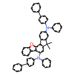 CC1(C)c2cc(N(c3ccccc3)c3ccc(-c4ccccc4)cc3)ccc2-c2c1cc(N(c1ccccc1)c1ccc(-c3ccccc3)cc1)c1c2oc2ccccc21